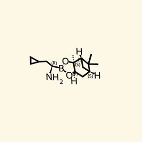 CC1(C)[C@@H]2C[C@H]3OB([C@@H](N)CC4CC4)O[C@@]3(C)[C@H]1C2